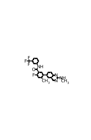 CNc1ncc2cc(-c3cc(C(=O)Nc4cccc(C(F)(F)F)c4)c(F)cc3C)ccc2n1